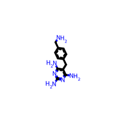 NCc1ccc(Cc2c(N)nc(N)nc2N)cc1